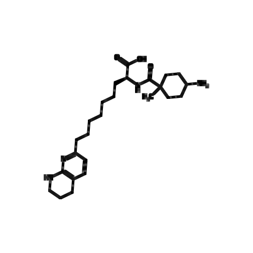 CC1(C(=O)N[C@@H](CCCCCCCc2ccc3c(n2)NCCC3)C(=O)O)CCC(N)CC1